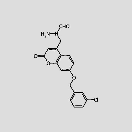 NN(C=O)Cc1cc(=O)oc2cc(OCc3cccc(Cl)c3)ccc12